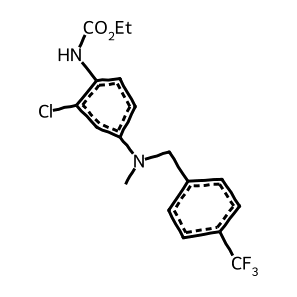 CCOC(=O)Nc1ccc(N(C)Cc2ccc(C(F)(F)F)cc2)cc1Cl